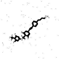 CCCCCc1ccc(C#Cc2cc(F)c(C(F)(F)Oc3cc(F)c(C(F)(F)F)c(F)c3)c(F)c2)cc1